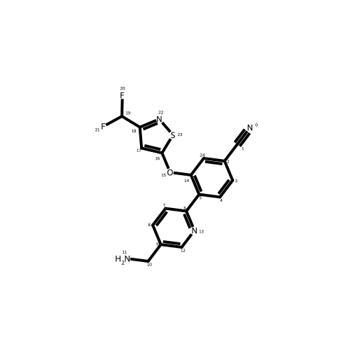 N#Cc1ccc(-c2ccc(CN)cn2)c(Oc2cc(C(F)F)ns2)c1